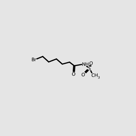 CS(=O)(=O)NC(=O)CCCCCBr